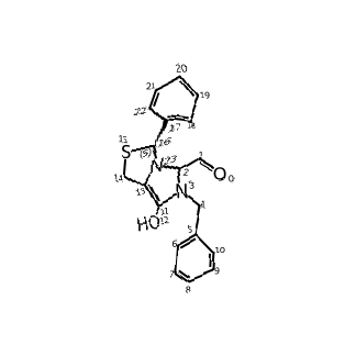 O=CC1N(Cc2ccccc2)C(O)=C2CS[C@@H](c3ccccc3)N21